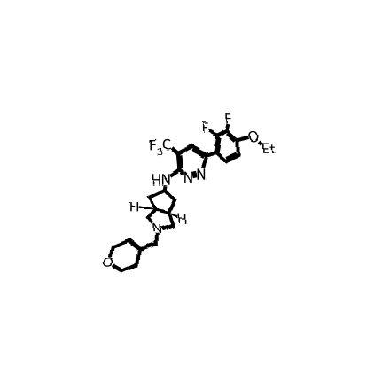 CCOc1ccc(-c2cc(C(F)(F)F)c(NC3C[C@@H]4CN(CC5CCOCC5)C[C@@H]4C3)nn2)c(F)c1F